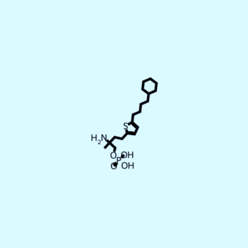 CC(N)(CCc1ccc(CCCCC2CCCCC2)s1)COP(=O)(O)O